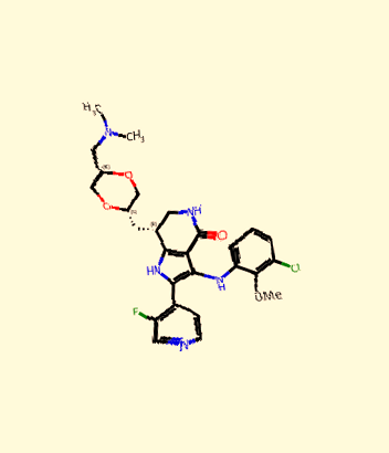 COc1c(Cl)cccc1Nc1c(-c2ccncc2F)[nH]c2c1C(=O)NC[C@H]2C[C@H]1CO[C@H](CN(C)C)CO1